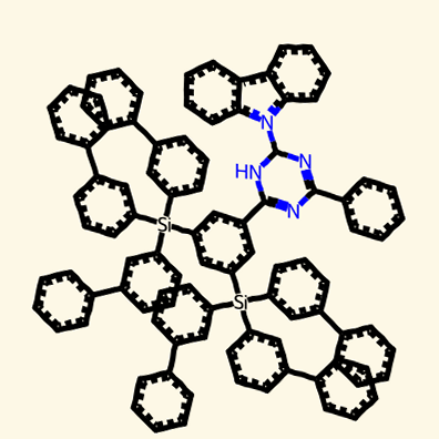 c1ccc(C2=NC(n3c4ccccc4c4ccccc43)NC(c3cc([Si](c4cccc(-c5ccccc5)c4)(c4cccc(-c5ccccc5)c4)c4cccc(-c5ccccc5)c4)cc([Si](c4cccc(-c5ccccc5)c4)(c4cccc(-c5ccccc5)c4)c4cccc(-c5ccccc5)c4)c3)=N2)cc1